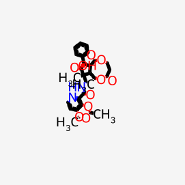 COc1ccnc(C(=O)NCC(C)(C(=O)O)C2C(C)OC(=O)CCOC(=O)C2Cc2ccccc2)c1OC(C)=O